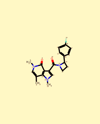 Cc1cn(C)c(=O)c2c(C(=O)N3CCC3c3ccc(F)cc3)cn(C)c12